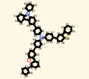 c1ccc(-c2cccc3c2oc2ccc(-c4ccc(N(c5ccc(-c6ccc7sc8ccccc8c7c6)cc5)c5ccc(-c6ccc7c(c6)c6ccccc6n7-c6ccccc6)cc5)cc4)cc23)cc1